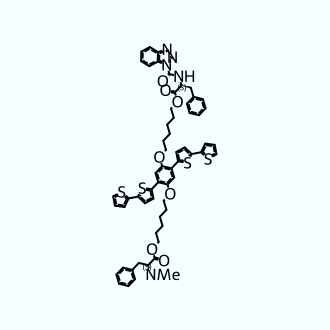 CN[C@@H](Cc1ccccc1)C(=O)OCCCCCCOc1cc(-c2ccc(-c3cccs3)s2)c(OCCCCCCOC(=O)[C@H](Cc2ccccc2)NC(=O)n2nnc3ccccc32)cc1-c1ccc(-c2cccs2)s1